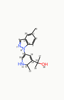 Cc1ccc2c(cnn2C2=CNC(C)C(C(C)(C)O)=C2)c1